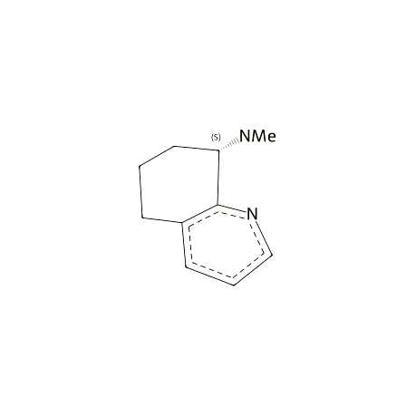 CN[C@H]1CCCc2cccnc21